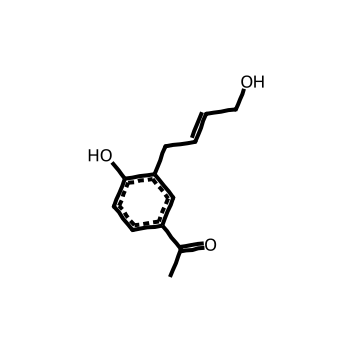 CC(=O)c1ccc(O)c(CC=CCO)c1